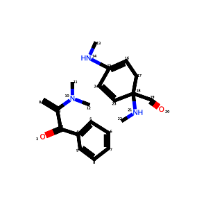 C=C(C(=O)c1ccccc1)N(C)C.CNC1=CCC(C=O)(NC)C=C1